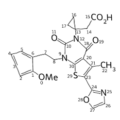 COc1ccccc1CCn1c(=O)n(C2(CC(=O)O)CC2)c(=O)c2c(C)c(-c3ncco3)sc21